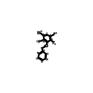 CCc1[c]c(F)c(F)c(OCc2ccccc2)c1F